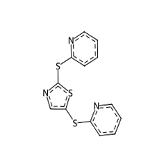 c1ccc(Sc2cnc(Sc3ccccn3)s2)nc1